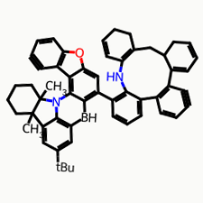 CC(C)(C)c1cc2c3c(c1)C1(C)CCCCC1(C)N3c1c(c(-c3cccc4c3NC3=C(CCC=C3)CC3CC=CC=C3c3c#cccc3-4)cc3oc4ccc#cc4c13)B2